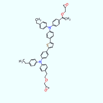 C=C(OCC1CO1)c1ccc(N(c2ccc(CC)cc2)c2ccc(-c3ccc(-c4ccc(N(c5ccc(CC)cc5)c5ccc(CCOCC6CO6)cc5)cc4)s3)cc2)cc1